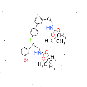 CC(C)(C)OC(=O)NCC1CC1c1cccc(-c2ccc(F)cc2)c1.CC(C)(C)OC(=O)NCC1CC1c1cccc(Br)c1